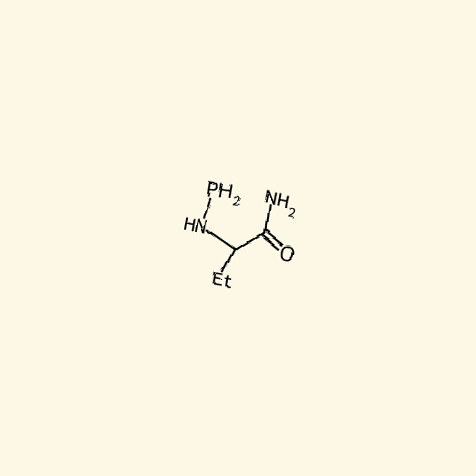 CCC(NP)C(N)=O